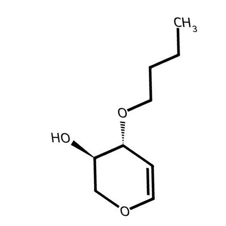 CCCCO[C@@H]1C=COC[C@H]1O